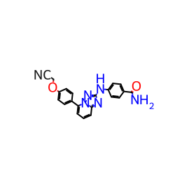 N#CCOc1ccc(-c2cccc3nc(Nc4ccc(C(N)=O)cc4)nn23)cc1